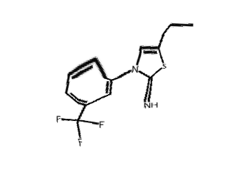 CCc1cn(-c2cccc(C(F)(F)F)c2)c(=N)s1